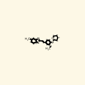 COc1cc(C=Cc2nc3cc(C)ccc3s2)ccc1OC1CCCCO1